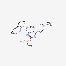 CC(C)Oc1nc(CN(C)C2CCCc3cccnc32)cc(N2CCN(C)CC2)n1